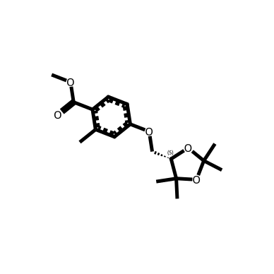 COC(=O)c1ccc(OC[C@@H]2OC(C)(C)OC2(C)C)cc1C